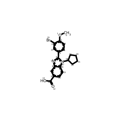 COc1ccc(-c2nc3cc(C(=O)O)ccc3n2C2CCCC2)cc1Br